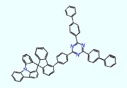 c1ccc(-c2ccc(-c3nc(-c4ccc(-c5ccccc5)cc4)nc(-c4ccc(-c5cccc6c5-c5ccccc5C65c6ccccc6-n6c7ccccc7c7cccc5c76)cc4)n3)cc2)cc1